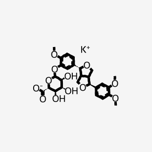 COc1ccc([C@H]2OCC3C2CO[C@H]3c2ccc(OC)c(OC3O[C@@H](C(=O)[O-])[C@H](O)[C@@H](O)[C@@H]3O)c2)cc1OC.[K+]